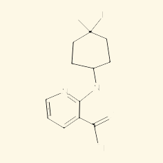 O=C(O)c1cccnc1NC1CCC(F)(F)CC1